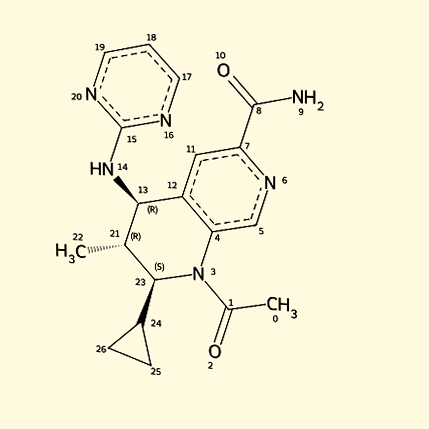 CC(=O)N1c2cnc(C(N)=O)cc2[C@H](Nc2ncccn2)[C@@H](C)[C@@H]1C1CC1